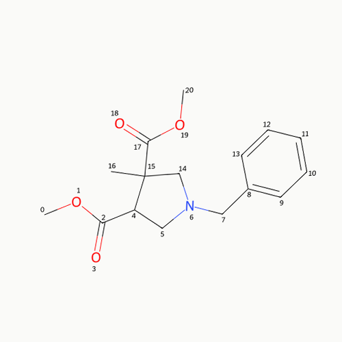 COC(=O)C1CN(Cc2ccccc2)CC1(C)C(=O)OC